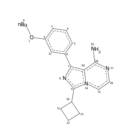 CCCCOc1cccc(-c2nc(C3CCC3)n3ccnc(N)c23)c1